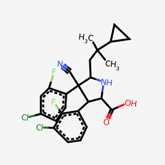 CC(C)(CC1NC(C(=O)O)C(c2cccc(Cl)c2F)C1(C#N)c1ccc(Cl)cc1F)C1CC1